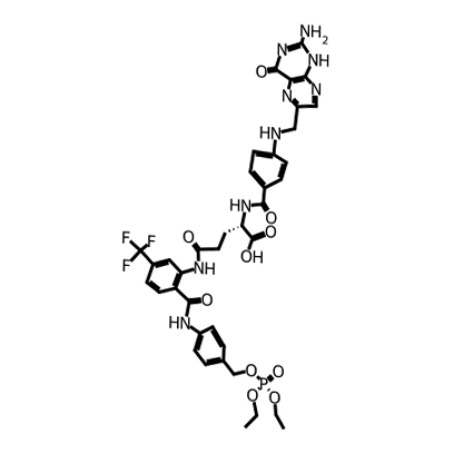 CCOP(=O)(OCC)OCc1ccc(NC(=O)c2ccc(C(F)(F)F)cc2NC(=O)CC[C@H](NC(=O)c2ccc(NCc3cnc4[nH]c(N)nc(=O)c4n3)cc2)C(=O)O)cc1